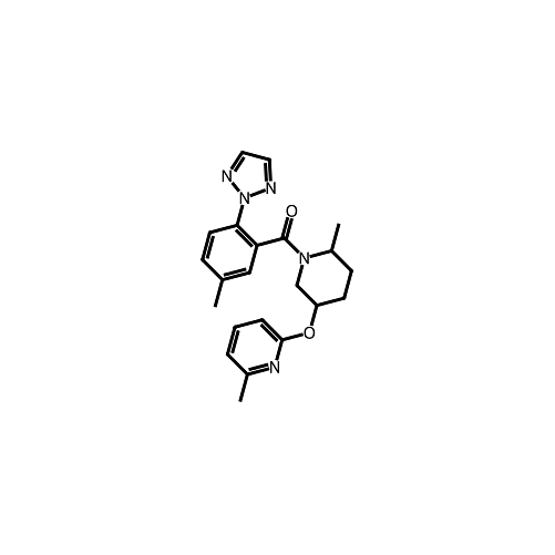 Cc1ccc(-n2nccn2)c(C(=O)N2CC(Oc3cccc(C)n3)CCC2C)c1